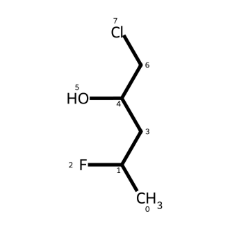 CC(F)CC(O)CCl